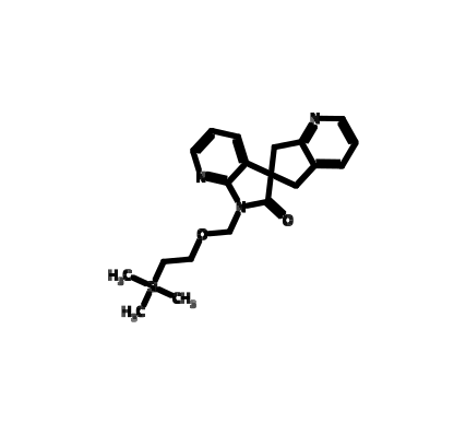 C[Si](C)(C)CCOCN1C(=O)C2(Cc3cccnc3C2)c2cccnc21